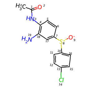 CC(=O)Nc1ccc([S+]([O-])c2ccc(Cl)cc2)cc1N